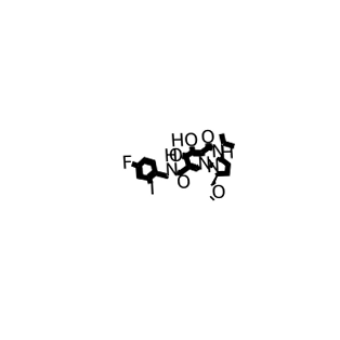 COC[C@@H]1CC[C@H]2N(C(C)C)C(=O)c3c(O)c(=O)c(C(=O)NCc4ccc(F)cc4I)cn3N12